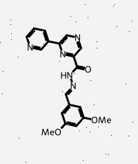 COc1cc(C=NNC(=O)c2cncc(-c3cccnc3)n2)cc(OC)c1